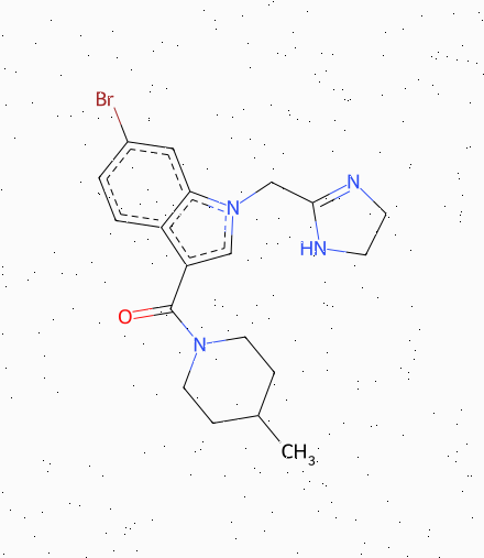 CC1CCN(C(=O)c2cn(CC3=NCCN3)c3cc(Br)ccc23)CC1